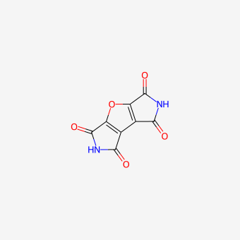 O=c1[nH]c(=O)c2c1oc1c(=O)[nH]c(=O)c12